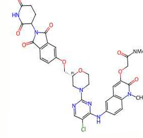 CNC(=O)COc1cc2cc(Nc3nc(N4CCO[C@@H](COc5ccc6c(c5)C(=O)N(C5CCC(=O)NC5=O)C6=O)C4)ncc3Cl)ccc2n(C)c1=O